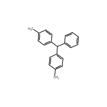 Cc1ccc(C(c2ccccc2)c2ccc(C)cc2)cc1